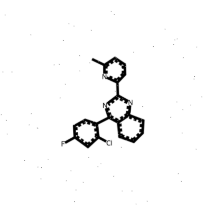 Cc1cccc(-c2nc(-c3ccc(F)cc3Cl)c3ccccc3n2)n1